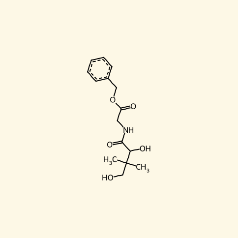 CC(C)(CO)C(O)C(=O)NCC(=O)OCc1ccccc1